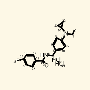 CCN(c1ccc(CNC(=O)c2ccc(F)cc2)cc1)C1CC1.Cl.Cl